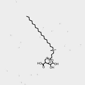 CCCCCCCCCCCCCCCCCC[N+](C)(C)CCC[Si]12OCC(C(=O)O)C(O1)C(O)C(O)O2